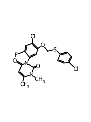 Cn1c(C(F)(F)F)cc(=O)n(-c2cc(OCSc3ccc(Cl)cc3)c(Cl)cc2F)c1=O